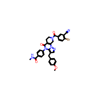 CNC(=O)c1ccc(-n2c(=O)c3c(n4ncc(Cc5ccc(OC)cc5)c24)CN(C(=O)c2ccc(Br)c(C#N)c2)CC3)cc1